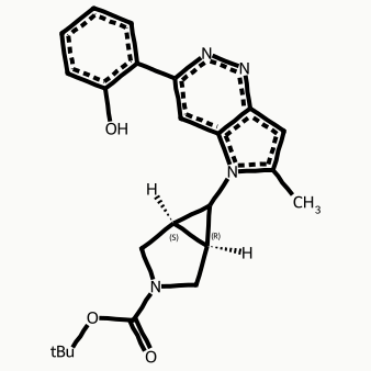 Cc1cc2nnc(-c3ccccc3O)cc2n1C1[C@H]2CN(C(=O)OC(C)(C)C)C[C@@H]12